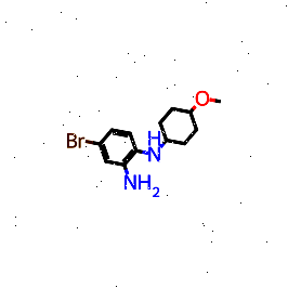 COC1CCC(Nc2ccc(Br)cc2N)CC1